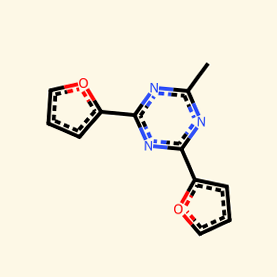 Cc1nc(-c2ccco2)nc(-c2ccco2)n1